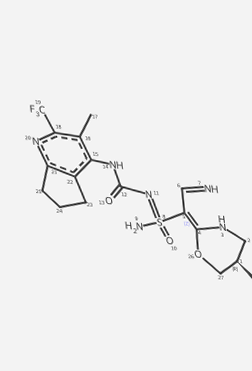 CO[C@@H]1CN/C(=C(\C=N)S(N)(=O)=NC(=O)Nc2c(C)c(C(F)(F)F)nc3c2CCC3)OC1